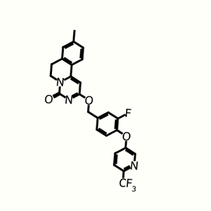 Cc1ccc2c(c1)CCn1c-2cc(OCc2ccc(Oc3ccc(C(F)(F)F)nc3)c(F)c2)nc1=O